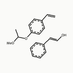 C=Cc1ccc(OC(C)OC)cc1.OC=Cc1ccccc1